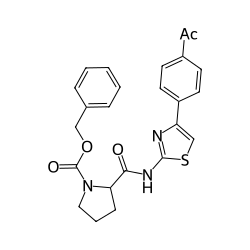 CC(=O)c1ccc(-c2csc(NC(=O)C3CCCN3C(=O)OCc3ccccc3)n2)cc1